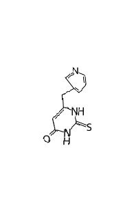 O=c1cc(Cc2cccnc2)[nH]c(=S)[nH]1